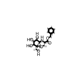 O=C(OCc1ccccc1)[C@H](CO)NC1O[C@H](CO)[C@H](O)[C@H](O)[C@H]1O